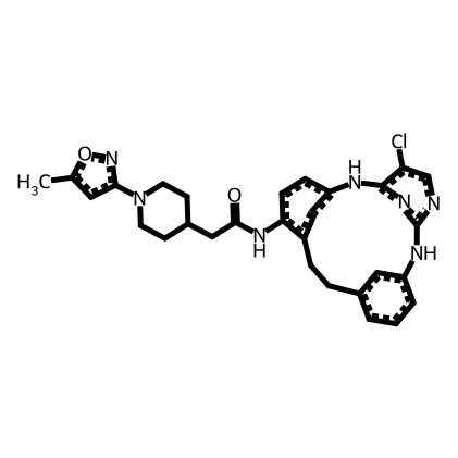 Cc1cc(N2CCC(CC(=O)Nc3ccc4cc3CCc3cccc(c3)Nc3ncc(Cl)c(n3)N4)CC2)no1